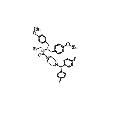 CC(C)C[C@@H](C(=O)N1CCN(C(c2ccc(F)cc2)c2ccc(F)cc2)CC1)N(Cc1ccc(OC(C)(C)C)cc1)Cc1ccc(OC(C)(C)C)cc1